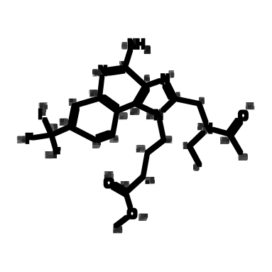 CCN(Cc1nc2c(N)nc3cc(C(F)(F)F)ccc3c2n1CCCC(=O)OC)C(C)=O